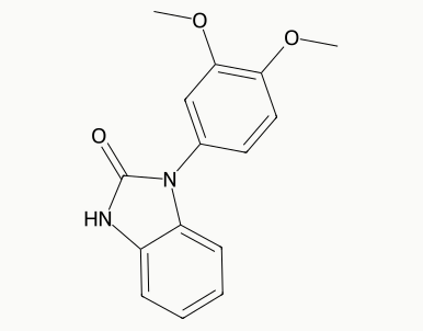 COc1ccc(-n2c(=O)[nH]c3ccccc32)cc1OC